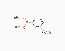 CCCOB(OCCC)c1cccc(C(=O)O)c1